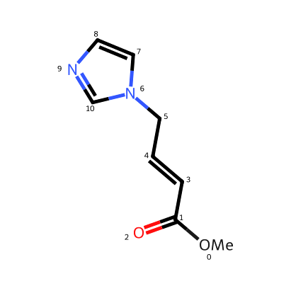 COC(=O)/C=C/Cn1ccnc1